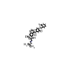 [2H]N1CC=CC=C1COc1ccc(Nc2ncnc3cc(OCC)c(NC(=O)/C=C/CN(C)C)cc23)cc1Cl